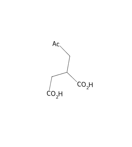 CC(=O)CC(CC(=O)O)C(=O)O